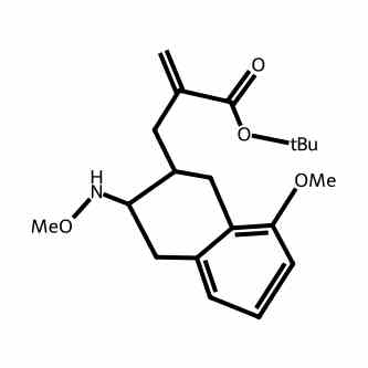 C=C(CC1Cc2c(cccc2OC)CC1NOC)C(=O)OC(C)(C)C